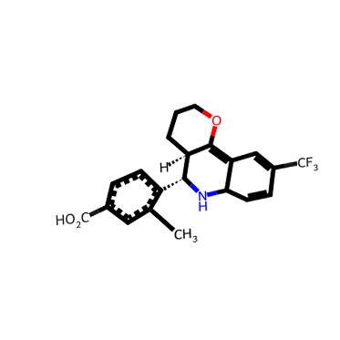 Cc1cc(C(=O)O)ccc1[C@H]1NC2C=CC(C(F)(F)F)=CC2=C2OCCC[C@@H]21